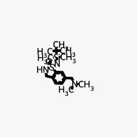 CN(C)Cc1ccc2c(c1)S(=O)(=N[Si](C)(C)C(C)(C)C)NC2